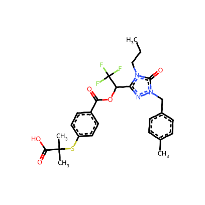 CCCn1c(C(OC(=O)c2ccc(SC(C)(C)C(=O)O)cc2)C(F)(F)F)nn(Cc2ccc(C)cc2)c1=O